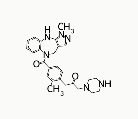 Cc1cc(C(=O)N2Cc3cnn(C)c3Nc3ccccc32)ccc1CC(=O)CN1CCNCC1